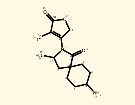 CC1=C(N2C(=O)C3(CCC(N)CC3)CC2C)COC1=O